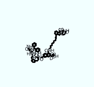 NC(=O)CC[C@H](NC(=O)[C@@H]1Cc2cccc3c2N1C(=O)[C@@H](NC(=O)c1ccc2c(C(=O)NCCCCCCCCC#Cc4cccc5c4CN(C4CCC(=O)NC4=O)C5=O)cc(C(=O)P(=O)(O)O)cc2c1)CC3)C(=O)NC(c1ccccc1)c1ccccc1